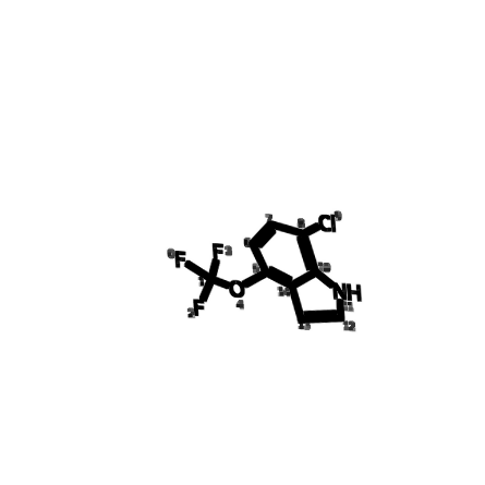 FC(F)(F)Oc1ccc(Cl)c2[nH]ccc12